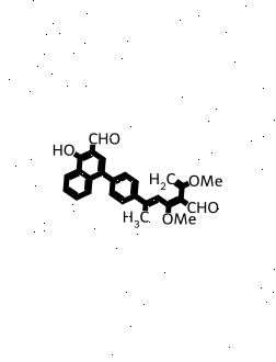 C=C(OC)/C(C=O)=C(\C=C(/C)c1ccc(-c2cc(C=O)c(O)c3ccccc23)cc1)OC